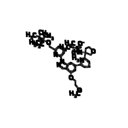 COCCOc1cc(-c2cccc(C3(N[S+]([O-])C(C)(C)C)CCOC3)n2)cc2c1cnn2-c1cccc(CO[Si](C)(C)C(C)(C)C)n1